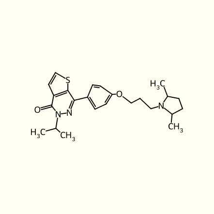 CC1CCC(C)N1CCCOc1ccc(-c2nn(C(C)C)c(=O)c3ccsc23)cc1